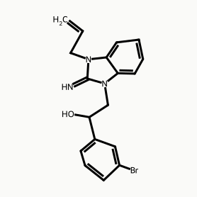 C=CCn1c(=N)n(CC(O)c2cccc(Br)c2)c2ccccc21